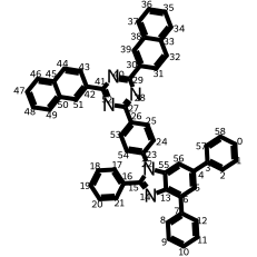 c1ccc(-c2cc(-c3ccccc3)c3nc(-c4ccccc4)n(-c4ccc(-c5nc(-c6ccc7ccccc7c6)nc(-c6ccc7ccccc7c6)n5)cc4)c3c2)cc1